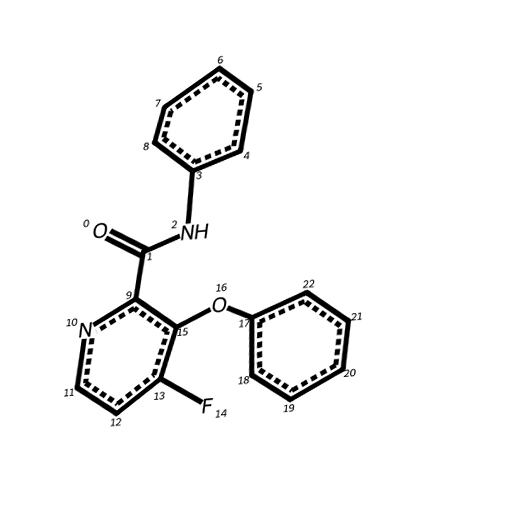 O=C(Nc1ccccc1)c1nccc(F)c1Oc1ccccc1